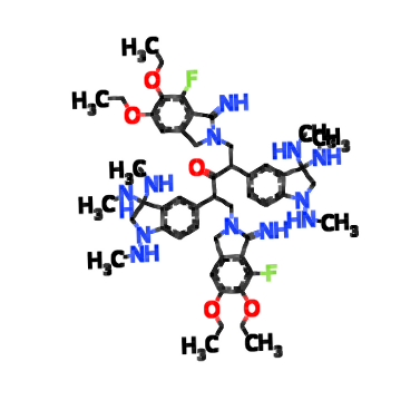 CCOc1cc2c(c(F)c1OCC)C(=N)N(CC(C(=O)C(CN1Cc3cc(OCC)c(OCC)c(F)c3C1=N)c1ccc3c(c1)C(NC)(NC)CN3NC)c1ccc3c(c1)C(NC)(NC)CN3NC)C2